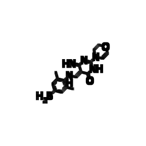 Bc1cc(C)c(N/C=C2\C(=N)N=C(N3C=COCC3)NC2=O)c(C)c1